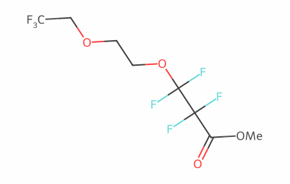 COC(=O)C(F)(F)C(F)(F)OCCOCC(F)(F)F